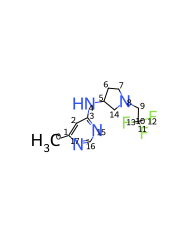 Cc1cc(NC2CCN(CC(F)(F)F)C2)ncn1